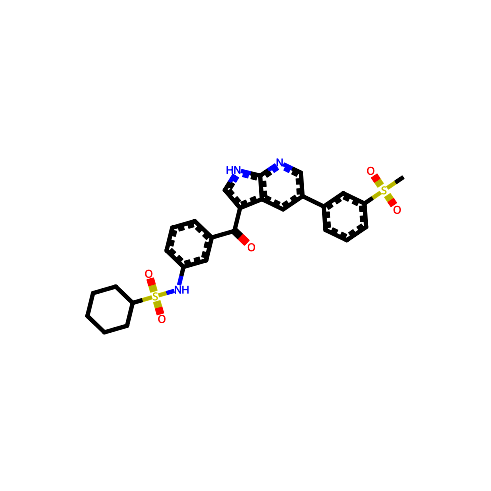 CS(=O)(=O)c1cccc(-c2cnc3[nH]cc(C(=O)c4cccc(NS(=O)(=O)C5CCCCC5)c4)c3c2)c1